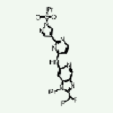 CC(C)n1c(C(F)F)nc2cnc(Nc3ccnc(-c4cnn(S(=O)(=O)C(C)C)c4)n3)cc21